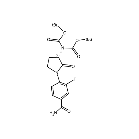 CC(C)(C)OC(=O)N(C(=O)OC(C)(C)C)[C@H]1CCN(c2ccc(C(N)=O)cc2F)C1=O